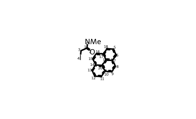 CNC(=O)CI.c1cc2ccc3cccc4ccc(c1)c2c34